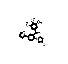 COc1cc(C(=O)c2cc(-c3ccco3)ccc2N2CCC(O)C2)cc(OC)c1OC